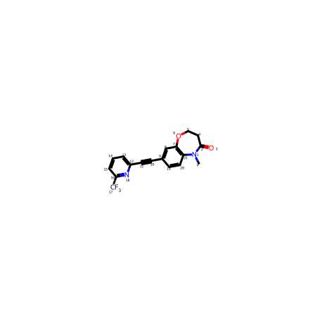 CN1C(=O)CCOc2cc(C#Cc3cccc(C(F)(F)F)n3)ccc21